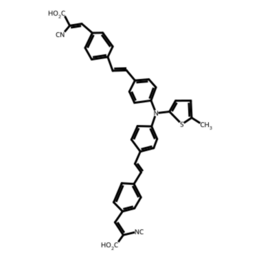 [C-]#[N+]/C(=C\c1ccc(/C=C/c2ccc(N(c3ccc(/C=C/c4ccc(/C=C(\[N+]#[C-])C(=O)O)cc4)cc3)c3ccc(C)s3)cc2)cc1)C(=O)O